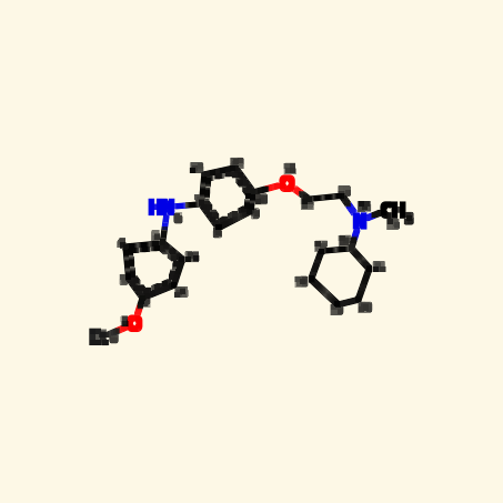 CCOc1ccc(Nc2ccc(OCCN(C)C3CCCCC3)cc2)cc1